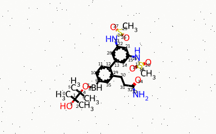 CC(C)(O)C(C)(C)OBc1ccc(-c2cc(NS(C)(=O)=O)cc(NS(C)(=O)=O)c2)c(CCC(N)=O)c1